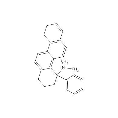 CN(C)C1(c2ccccc2)CCCc2ccc3c4c(ccc3c21)C=CCC4